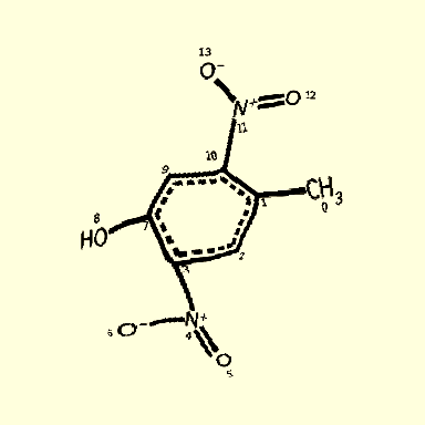 Cc1cc([N+](=O)[O-])c(O)cc1[N+](=O)[O-]